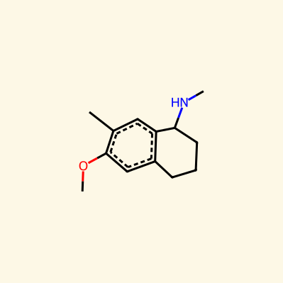 CNC1CCCc2cc(OC)c(C)cc21